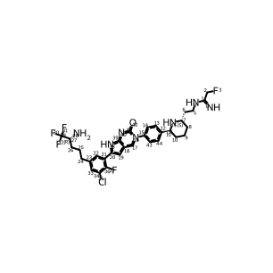 N=C(CF)NCC[C@@H]1CCC[C@@H](c2ccc(-n3cc4cc(-c5cc(CCC[C@@H](N)C(F)(F)F)cc(Cl)c5F)[nH]c4nc3=O)cc2)N1